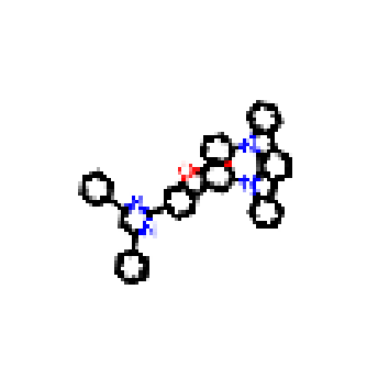 c1ccc(-c2cc(-c3ccccc3)nc(-c3ccc4c(c3)oc3ccc(-n5c6ccccc6c6ccc7c8ccccc8n(-c8ccccc8)c7c65)cc34)n2)cc1